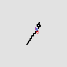 CCCCCCCCCCCCC(=O)N(I)Cc1ccc(C)cc1